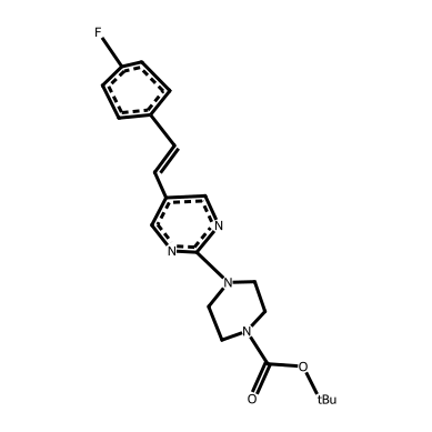 CC(C)(C)OC(=O)N1CCN(c2ncc(C=Cc3ccc(F)cc3)cn2)CC1